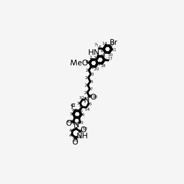 COc1cc2c(N[C@H](C)c3cccc(Br)c3)cc(C)cc2cc1CCCCCCCC(=O)N1CCC(c2cc3c(cc2F)C(=O)N(C2CCC(=O)NC2=O)C3)CC1